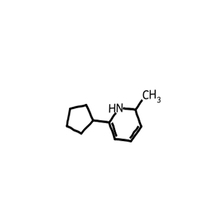 CC1C=CC=C(C2CCCC2)N1